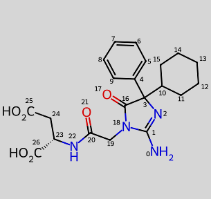 NC1=NC(c2ccccc2)(C2CCCCC2)C(=O)N1CC(=O)N[C@@H](CC(=O)O)C(=O)O